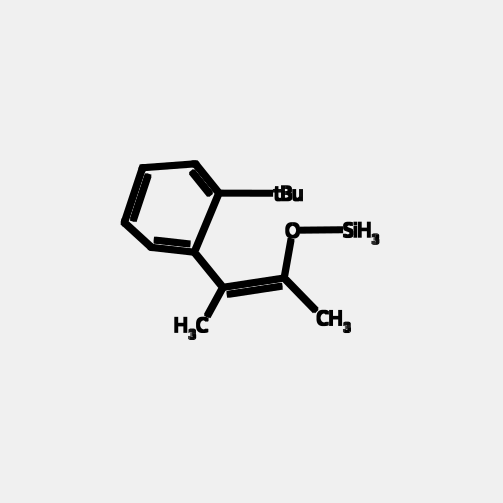 CC(O[SiH3])=C(C)c1ccccc1C(C)(C)C